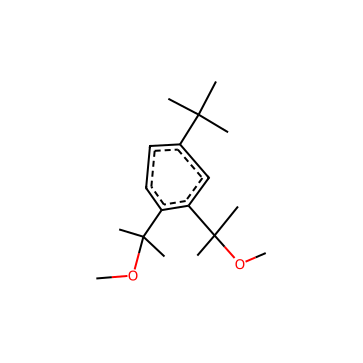 COC(C)(C)c1ccc(C(C)(C)C)cc1C(C)(C)OC